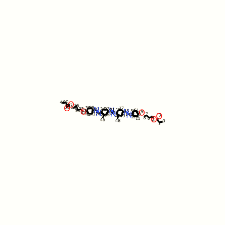 C=CC(=O)OCCCCOc1ccc(N=Nc2ccc(N=Nc3ccc(N=Nc4ccc(OCCCCOC(=O)C=C)cc4)c(C)c3)c(C)c2)cc1